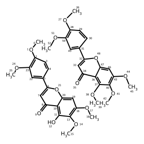 COc1ccc(-c2cc(=O)c3c(O)c(OC)c(OC)cc3o2)cc1OC.COc1ccc(-c2cc(=O)c3c(OC)c(OC)c(OC)cc3o2)cc1OC